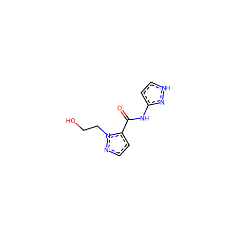 O=C(Nc1cc[nH]n1)c1ccnn1CCO